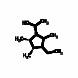 CCC1C(C)N(B(C)O)[C@@H](C)[C@H]1C